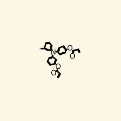 C=CC(=O)Oc1ccc(N(c2cccc(C)c2)c2cccc(OC(=O)C=C)c2)cc1